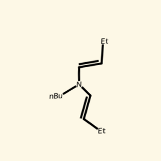 CC/C=C/N(/C=C/CC)CCCC